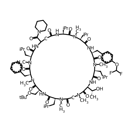 CC(C)C[C@H]1C(=O)N[C@@H](COC(C)(C)C)C(=O)N(C)[C@@H](Cc2ccccc2)C(=O)N(C)[C@@H](CC(C)C)C(=O)NC(C(=O)N2CCCCC2)CC(=O)N[C@@H](C(C)C)C(=O)N(C)[C@@H](C(C)C)C(=O)N[C@@H](Cc2ccc(OC(F)F)cc2)C(=O)N(C)[C@@H](CC(C)C)C(=O)N[C@@H]([C@@H](C)O)C(=O)N(C)CC(=O)N1C